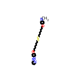 C=Nc1ccc(OCCCCCCCCSSCCCCCCCCOc2ccc(/N=N/c3ccccn3)cc2)cc1